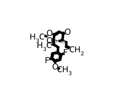 C=CC[C@H]1C[C@]2([C@H](C)Cc3cc(F)c(OC)cc3F)OC(C)OC2=CC1=O